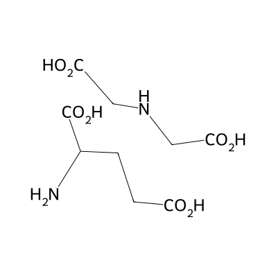 NC(CCC(=O)O)C(=O)O.O=C(O)CNCC(=O)O